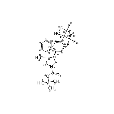 CC(C)(C)OC(=O)N1C[C@H](c2ccc(C(O)(C(F)(F)F)C(F)(F)F)cc2)[C@](C)(c2ccccc2)C1